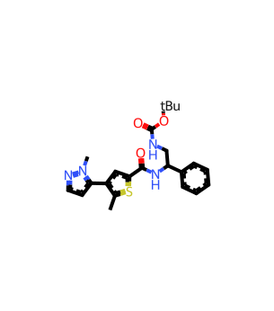 Cc1sc(C(=O)NC(CNC(=O)OC(C)(C)C)c2ccccc2)cc1-c1ccnn1C